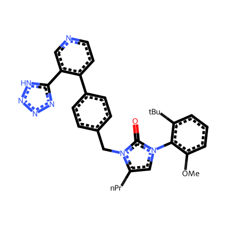 CCCc1cn(-c2c(OC)cccc2C(C)(C)C)c(=O)n1Cc1ccc(-c2ccncc2-c2nnn[nH]2)cc1